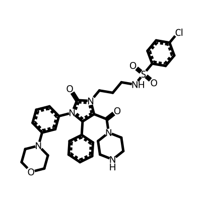 O=C(c1c(-c2ccccc2)n(-c2cccc(N3CCOCC3)c2)c(=O)n1CCCNS(=O)(=O)c1ccc(Cl)cc1)N1CCNCC1